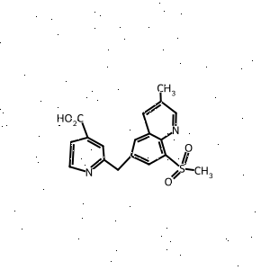 Cc1cnc2c(S(C)(=O)=O)cc(Cc3cc(C(=O)O)ccn3)cc2c1